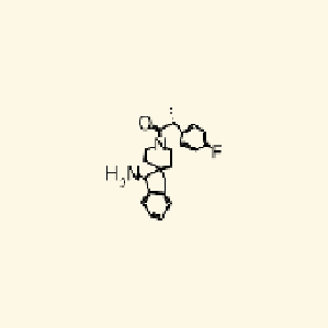 C[C@@H](C(=O)N1CCC2(CC1)Cc1ccccc1[C@H]2N)c1ccc(F)cc1